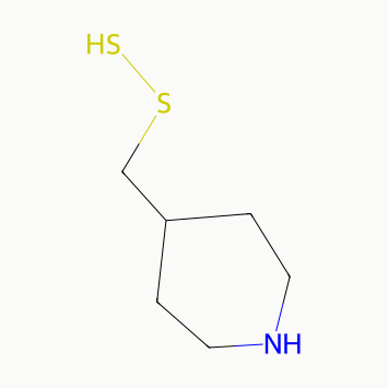 SSCC1CCNCC1